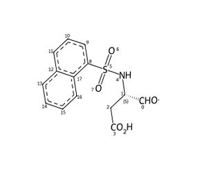 O=[C][C@H](CC(=O)O)NS(=O)(=O)c1cccc2ccccc12